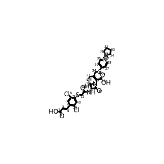 O=C(O)C=Cc1cc(Cl)c(SCC(=O)N[C@H]2C(=O)N3C(C(=O)O)=C(CSc4cc[n+](N5CCCC5)cc4)CS[C@H]23)cc1Cl